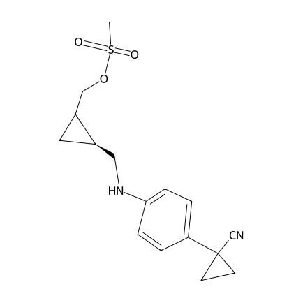 CS(=O)(=O)OCC1C[C@@H]1CNc1ccc(C2(C#N)CC2)cc1